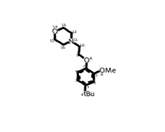 COc1cc(C(C)(C)C)ccc1OCCN1CCOCC1